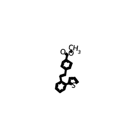 COC(=O)c1ccc(C=Cc2ccccc2-c2cccs2)cc1